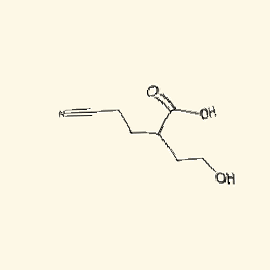 N#CCCC(CCO)C(=O)O